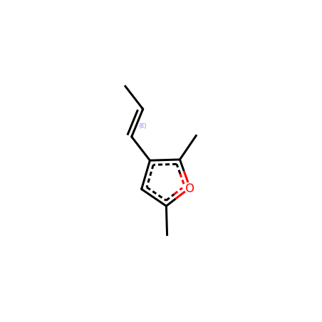 C/C=C/c1cc(C)oc1C